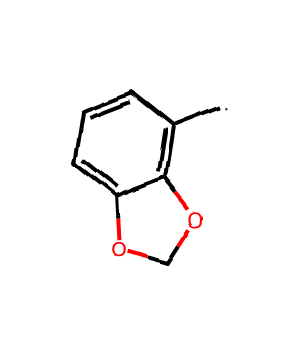 [CH2]c1cccc2c1OCO2